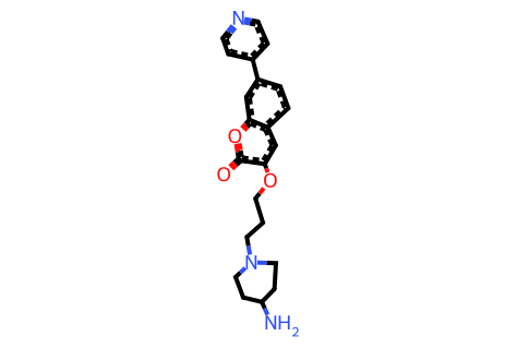 NC1CCN(CCCOc2cc3ccc(-c4ccncc4)cc3oc2=O)CC1